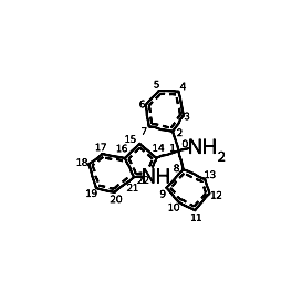 NC(c1ccccc1)(c1ccccc1)c1cc2ccccc2[nH]1